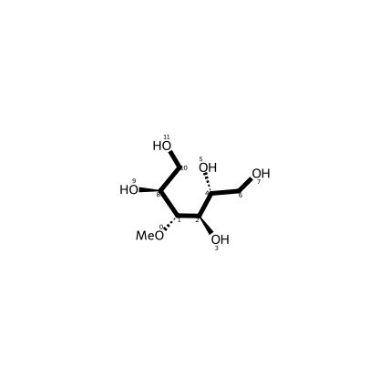 CO[C@@H]([C@H](O)[C@H](O)CO)[C@@H](O)CO